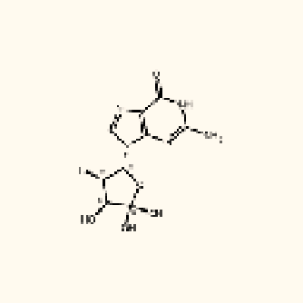 N#C[C@]1(O)O[C@@H](n2cnc3c(=O)[nH]c(N)nc32)[C@H](F)[C@@H]1O